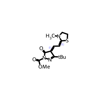 COC(=O)N1N=C(C(C)(C)C)/C(=C\C=C2\SCCN2C)C1=O